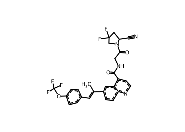 CC(=Cc1ccc(OC(F)(F)F)cc1)c1ccc2nccc(C(=O)NCC(=O)N3CC(F)(F)CC3C#N)c2c1